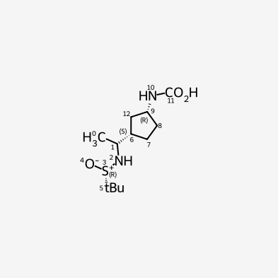 CC(N[S@@+]([O-])C(C)(C)C)[C@H]1CC[C@@H](NC(=O)O)C1